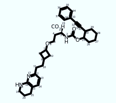 O=C(N[C@@H](CCOC1CC(CCc2ccc3c(n2)NCCC3)C1)C(=O)O)OC1CCCCC1C#Cc1ccccc1